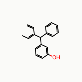 C=C/C(=C\C)C(c1ccccc1)c1cccc(O)c1